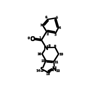 O=C(c1ccccc1)N1CCc2n[c]sc2C1